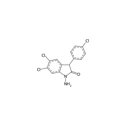 NN1C(=O)C(c2ccc(Cl)cc2)c2cc(Cl)c(Cl)cc21